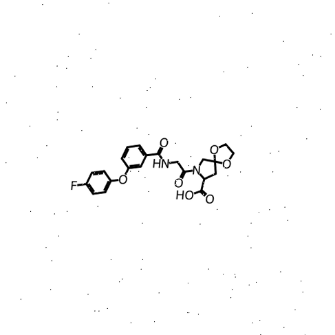 O=C(NCC(=O)N1CC2(CC1C(=O)O)OCCO2)c1cccc(Oc2ccc(F)cc2)c1